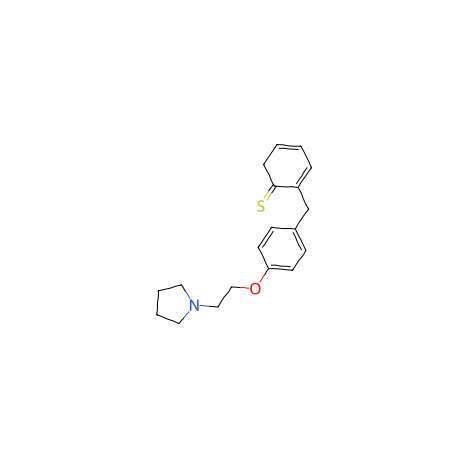 S=C1CC=CC=C1Cc1ccc(OCCN2CCCC2)cc1